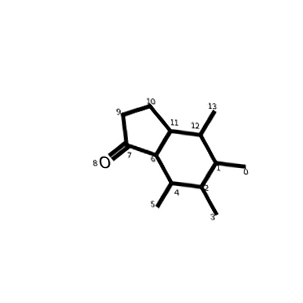 CC1C(C)C(C)C2C(=O)CCC2C1C